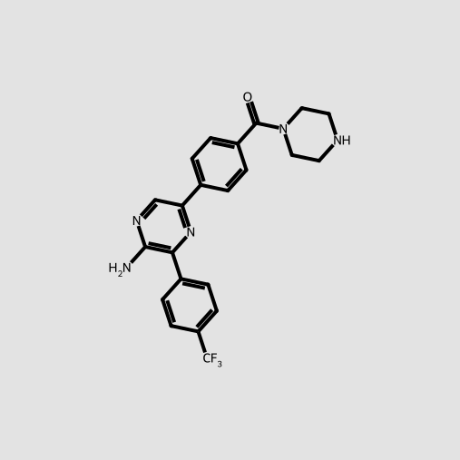 Nc1ncc(-c2ccc(C(=O)N3CCNCC3)cc2)nc1-c1ccc(C(F)(F)F)cc1